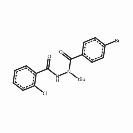 CC(C)(C)N(NC(=O)c1ccccc1Cl)C(=O)c1ccc(Br)cc1